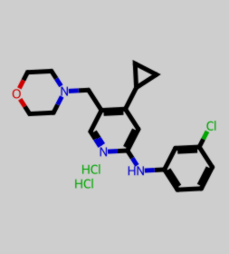 Cl.Cl.Clc1cccc(Nc2cc(C3CC3)c(CN3CCOCC3)cn2)c1